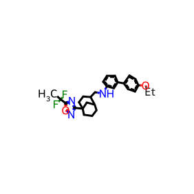 CCOc1ccc(-c2cccc(NCC3CCC4(c5noc(C(C)(F)F)n5)CCCC3C4)c2)cc1